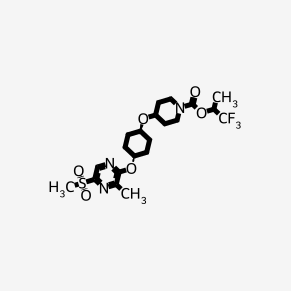 Cc1nc(S(C)(=O)=O)cnc1O[C@H]1CC[C@H](OC2CCN(C(=O)OC(C)C(F)(F)F)CC2)CC1